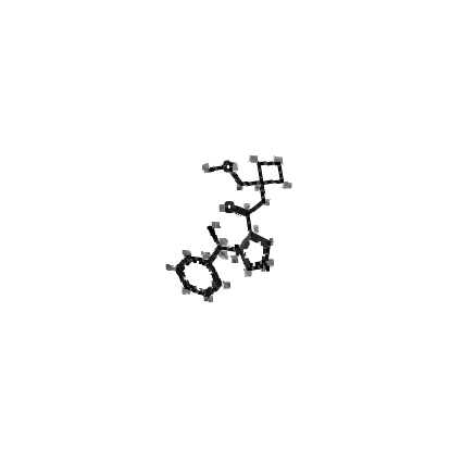 COCC1(CC(=O)c2cncn2[C@H](C)c2ccccc2)CCC1